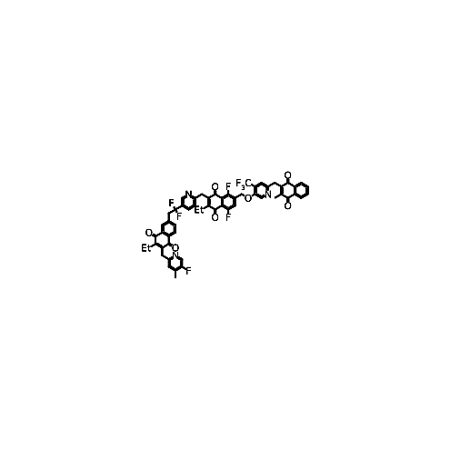 CCC1=C(Cc2cc(C)c(F)cn2)C(=O)c2ccc(CC(F)(F)c3ccc(CC4=C(CC)C(=O)c5c(F)cc(COc6cnc(CC7=C(C)C(=O)c8ccccc8C7=O)cc6C(F)(F)F)c(F)c5C4=O)nc3)cc2C1=O